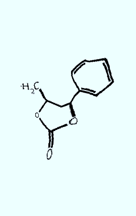 [CH2]C1OC(=O)OC1c1ccccc1